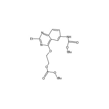 CCc1nc(OCCOC(=O)OC(C)(C)C)c2cc(NC(=O)OC(C)(C)C)ccc2n1